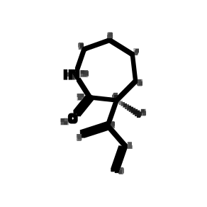 C=CC(=C)[C@]1(C)CCCCNC1=O